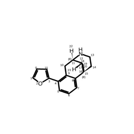 c1coc(-c2cccc3c2C[C@H]2NCC[C@@]34CCCC[C@@H]24)c1